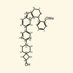 COc1ccccc1C1CCCc2nc3ccc(-c4cnc(N5CCC6(CC5)CC(O)C6)nc4)cn3c21